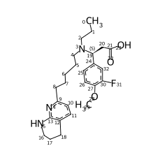 CCCN(CCCCCc1ccc2c(n1)NCCC2)[C@@H](CC(=O)O)c1ccc(OC)c(F)c1